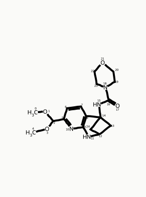 COC(OC)c1ccc2c(n1)NC1CC2(NC(=O)N2CCOCC2)C1